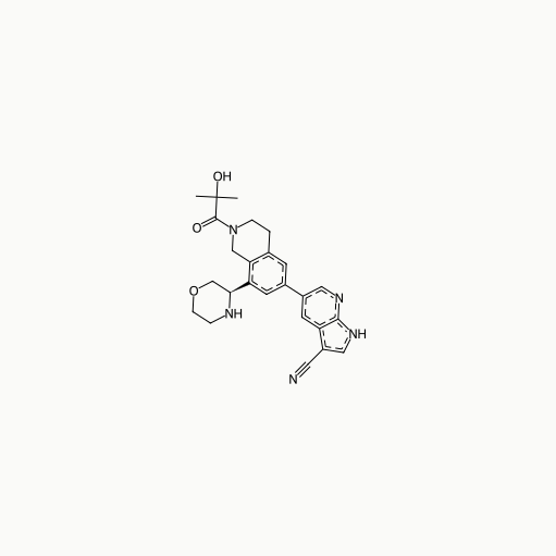 CC(C)(O)C(=O)N1CCc2cc(-c3cnc4[nH]cc(C#N)c4c3)cc([C@@H]3COCCN3)c2C1